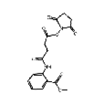 COC(=O)c1ccccc1NC(=O)CCC(=O)ON1C(=O)CCC1=O